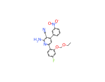 CCOCOc1cc(F)ccc1-c1cc(-c2cccc([N+](=O)[O-])c2)c(C#N)c(N)n1